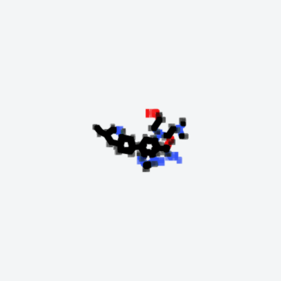 CCC1C=Nc2cc(-c3cc(N(CCO)CCN(C)C)c(C(N)=O)c4[nH]cnc34)ccc2C1